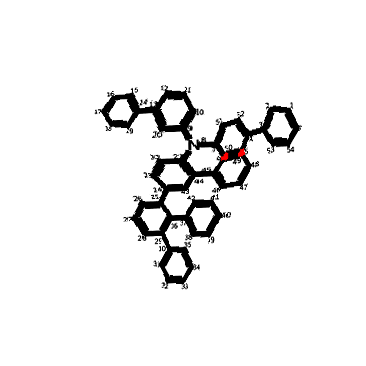 c1ccc(-c2ccc(N(c3cccc(-c4ccccc4)c3)c3ccc(-c4cccc(-c5ccccc5)c4-c4ccccc4)cc3-c3ccccc3)cc2)cc1